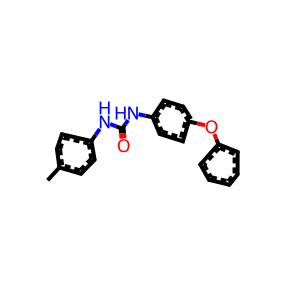 Cc1ccc(NC(=O)Nc2ccc(Oc3ccccc3)cc2)cc1